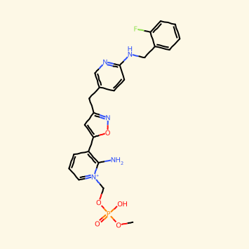 COP(=O)(O)OC[n+]1cccc(-c2cc(Cc3ccc(NCc4ccccc4F)nc3)no2)c1N